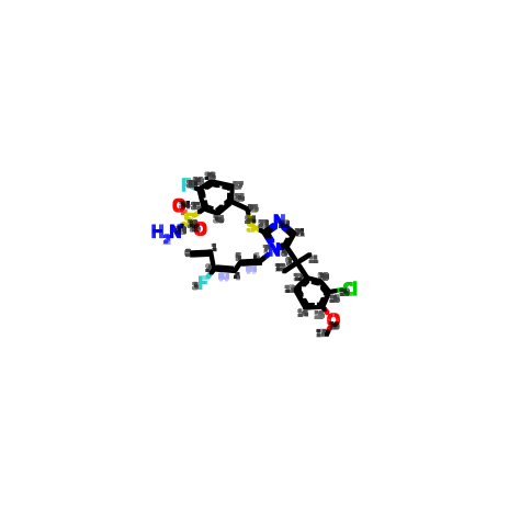 C=C/C(F)=C\C=C\n1c(C(C)(C)c2ccc(OC)c(Cl)c2)cnc1SCc1ccc(F)c(S(N)(=O)=O)c1